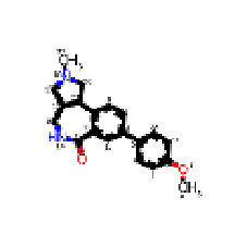 COc1ccc(-c2ccc3c(c2)C(=O)NCC2CN(C)CC32)cc1